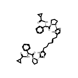 O=C(N[C@H](C(=O)N1CCC[C@H]1c1ncc(CC=CCCCc2cnc([C@@H]3CCCN3C(=O)[C@@H](NC(=O)C3CC3)c3ccccc3)[nH]2)[nH]1)c1ccccc1)C1CC1